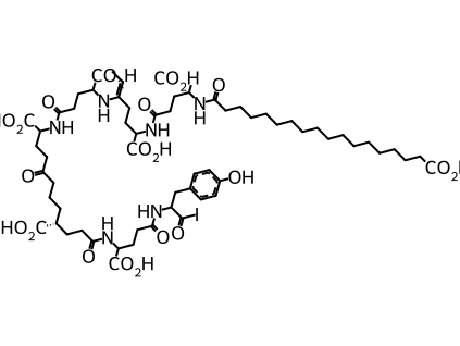 C/C=C(/CCC(NC(=O)CCC(NC(=O)CCCCCCCCCCCCCCCCC(=O)O)C(=O)O)C(=O)O)NC(CCC(=O)NC(CCC(=O)CCC[C@H](CCC(=O)NC(CCC(=O)NC(Cc1ccc(O)cc1)C(=O)I)C(=O)O)C(=O)O)C(=O)O)C(=O)O